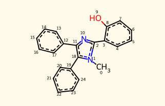 Cn1c(-c2ccccc2O)nc(-c2ccccc2)c1-c1ccccc1